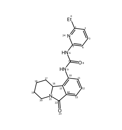 CCc1cccc(NC(=O)Nc2cccc3c2C2CCCCN2C3=O)n1